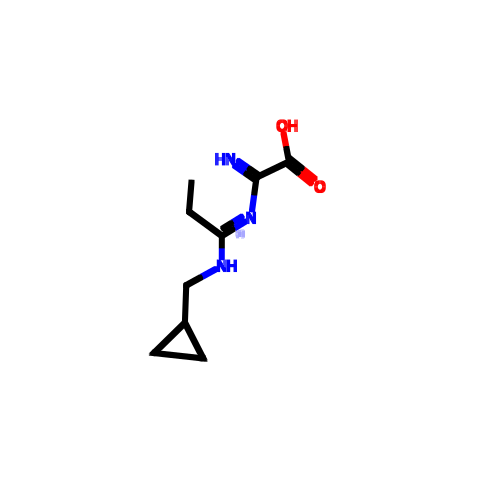 CC/C(=N\C(=N)C(=O)O)NCC1CC1